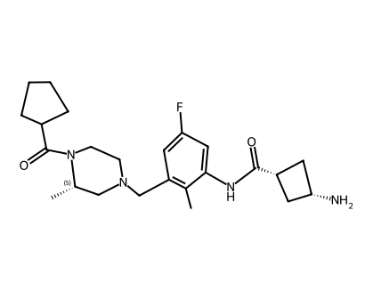 Cc1c(CN2CCN(C(=O)C3CCCC3)[C@@H](C)C2)cc(F)cc1NC(=O)[C@H]1C[C@@H](N)C1